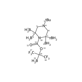 BC1(B)CN(C(C)(C)C)CC(B)(B)N1C(=O)OC(B)(C(F)(F)F)C(F)(F)F